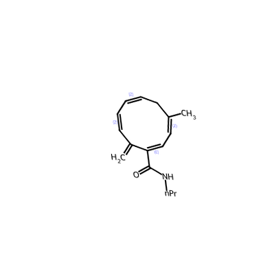 C=C1/C=C\C=C/C/C(C)=C\C=C/1C(=O)NCCC